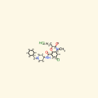 CC1Oc2c(C(=O)NC3CCN(Cc4ccccc4)CC3)cc(Cl)cc2N(C)C1=O.Cl